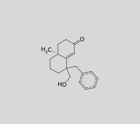 C[C@@]12CCCC(CO)(Cc3ccccc3)C1=CC(=O)CC2